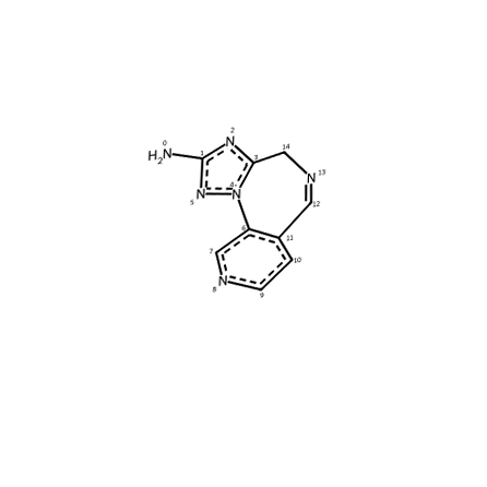 Nc1nc2n(n1)-c1cnccc1C=NC2